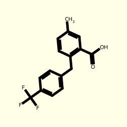 Cc1ccc(Cc2ccc(C(F)(F)F)cc2)c(C(=O)O)c1